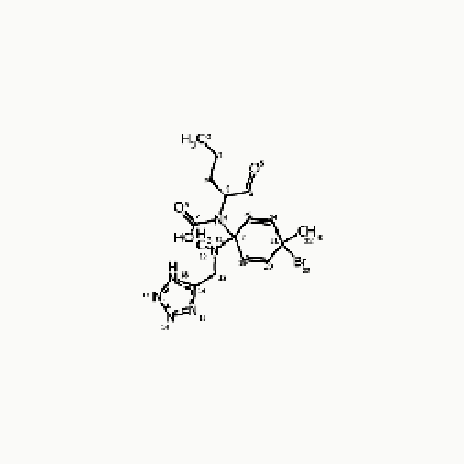 CCC[C@@H](C=O)N(C(=O)O)C1(N(C)Cc2nnn[nH]2)C=CC(C)(Br)C=C1